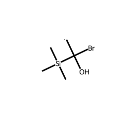 [CH2]C(O)(Br)[Si](C)(C)C